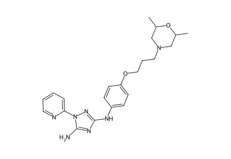 CC1CN(CCCOc2ccc(Nc3nc(N)n(-c4ccccn4)n3)cc2)CC(C)O1